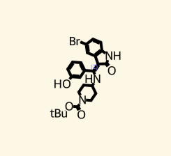 CC(C)(C)OC(=O)N1CCC(N/C(=C2\C(=O)Nc3ccc(Br)cc32)c2cccc(O)c2)CC1